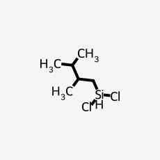 CC(C)C(C)C[SiH](Cl)Cl